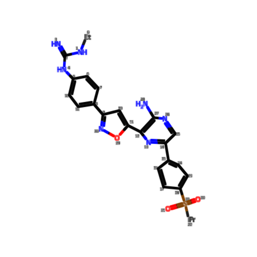 CCNC(=N)Nc1ccc(-c2cc(-c3nc(-c4ccc(S(=O)(=O)C(C)C)cc4)cnc3N)on2)cc1